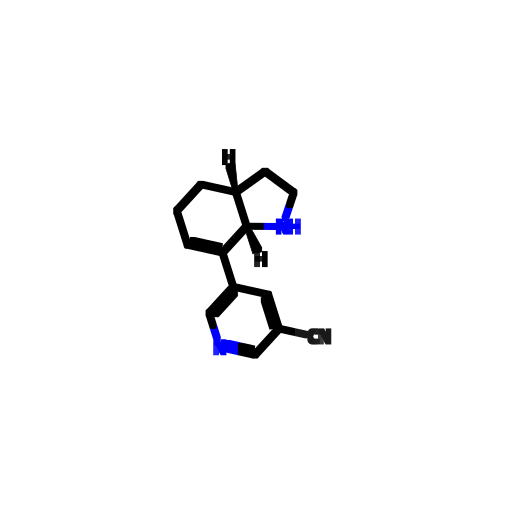 N#Cc1cncc(C2=CCC[C@@H]3CCN[C@H]23)c1